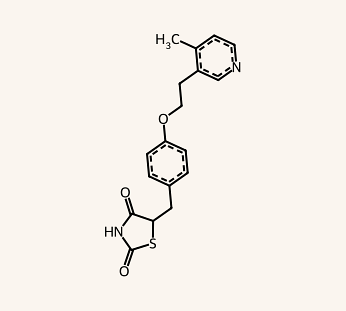 Cc1ccncc1CCOc1ccc(CC2SC(=O)NC2=O)cc1